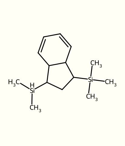 C[SiH](C)C1CC([Si](C)(C)C)C2C=CC=CC21